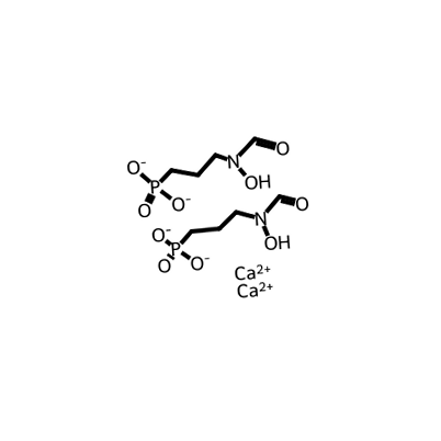 O=CN(O)CCCP(=O)([O-])[O-].O=CN(O)CCCP(=O)([O-])[O-].[Ca+2].[Ca+2]